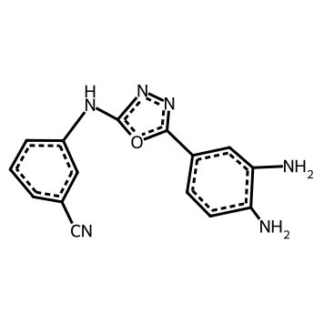 N#Cc1cccc(Nc2nnc(-c3ccc(N)c(N)c3)o2)c1